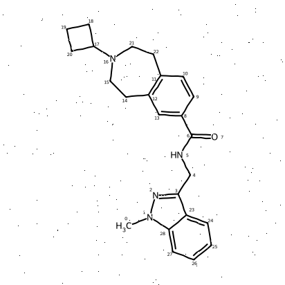 Cn1nc(CNC(=O)c2ccc3c(c2)CCN(C2CCC2)CC3)c2ccccc21